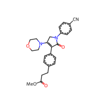 COC(=O)CCc1ccc(C2=C(N3CCOCC3)CN(c3ccc(C#N)cc3)C2=O)cc1